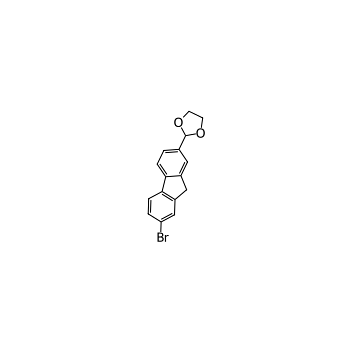 Brc1ccc2c(c1)Cc1cc(C3OCCO3)ccc1-2